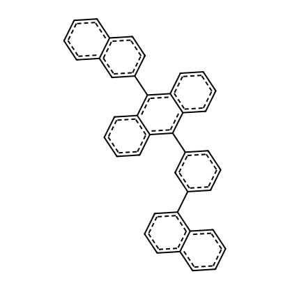 c1cc(-c2cccc3ccccc23)cc(-c2c3ccccc3c(-c3ccc4ccccc4c3)c3ccccc23)c1